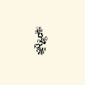 CN(C)S(=O)(=O)Nc1cnccc1CN1C(=O)N(c2ccc(S(=O)(=O)C(F)(F)F)cc2)C(=O)C1(C)C